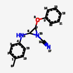 Cc1ccc(NC2C(Oc3ccccc3)N2C#N)cc1